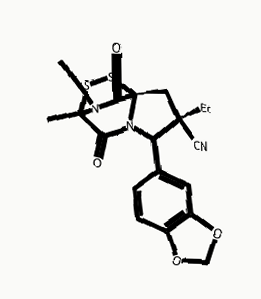 CC[C@]1(C#N)C[C@@]23SSC(C)(C(=O)N2C1c1ccc2c(c1)OCO2)N(C)C3=O